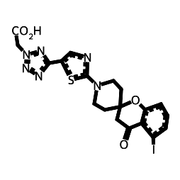 O=C(O)Cn1nnc(-c2cnc(N3CCC4(CC3)CC(=O)c3c(I)cccc3O4)s2)n1